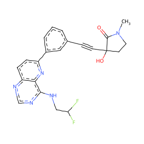 CN1CCC(O)(C#Cc2cccc(-c3ccc4ncnc(NCC(F)F)c4n3)c2)C1=O